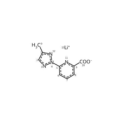 Cc1cnn(-c2cccc(C(=O)[O-])n2)n1.[Li+]